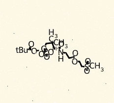 CC(C)(C)C(=O)OCOP1(=O)OCC(C)(C)[C@H](C(=O)NCCC(=O)OCCS(C)(=O)=O)O1